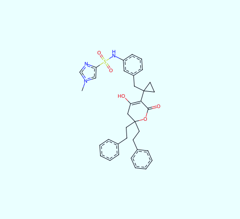 Cn1cnc(S(=O)(=O)Nc2cccc(CC3(C4=C(O)CC(CCc5ccccc5)(CCc5ccccc5)OC4=O)CC3)c2)c1